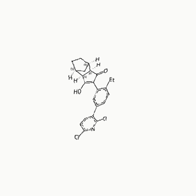 CCc1ccc(-c2ccc(Cl)nc2Cl)cc1C1=C(O)[C@H]2[C@H]3CC[C@H](C3)[C@H]2C1=O